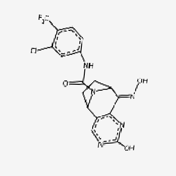 O=C(Nc1ccc(C(F)(F)F)c(Cl)c1)N1C2CCC1c1cnc(O)nc1C2=NO